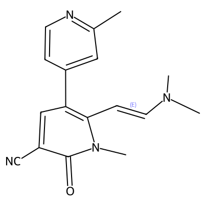 Cc1cc(-c2cc(C#N)c(=O)n(C)c2/C=C/N(C)C)ccn1